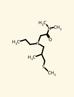 CCCN(CC(=O)N(C)C)CC(C)CSC